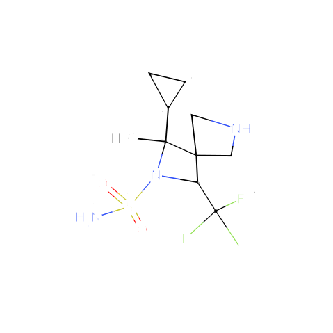 CC1(C2CC2)N(S(N)(=O)=O)C(C(F)(F)F)C12CNC2